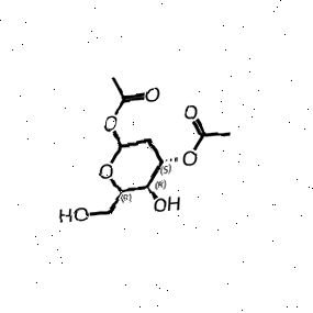 CC(=O)OC1C[C@H](OC(C)=O)[C@@H](O)[C@@H](CO)O1